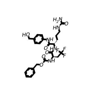 NC(=O)NCCC[C@H](NC(=O)[C@@H](CC(F)(F)F)NC(=O)OCc1ccccc1)C(=O)Nc1ccc(CO)cc1